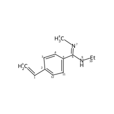 C=Cc1ccc(/C(=N\C)NCC)cc1